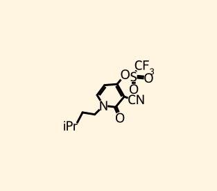 CC(C)CCn1ccc(OS(=O)(=O)C(F)(F)F)c(C#N)c1=O